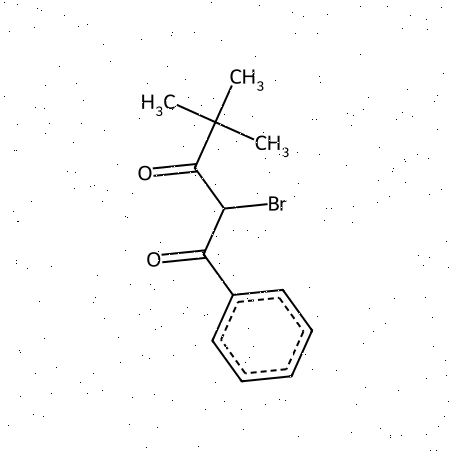 CC(C)(C)C(=O)C(Br)C(=O)c1ccccc1